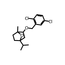 CC(C)C12CCC(C)(O1)C(OCc1cc(Cl)ccc1Cl)C2